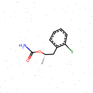 C[C@@H](Cc1ccccc1F)OC(N)=O